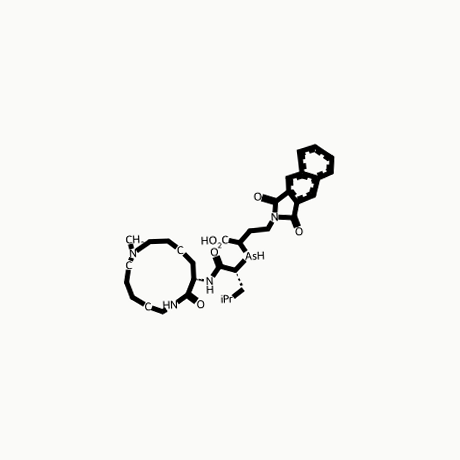 CC(C)C[C@@H]([AsH]C(CCN1C(=O)c2cc3ccccc3cc2C1=O)C(=O)O)C(=O)N[C@H]1CCCCN(C)CCCCCNC1=O